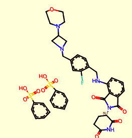 O=C1CC[C@H](N2C(=O)c3cccc(NCc4ccc(CN5CC(N6CCOCC6)C5)cc4F)c3C2=O)C(=O)N1.O=S(=O)(O)c1ccccc1.O=S(=O)(O)c1ccccc1